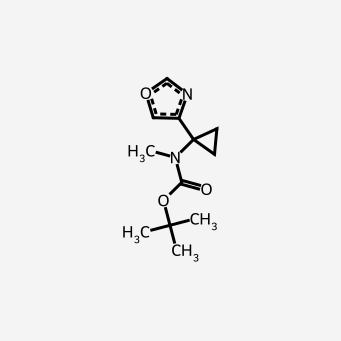 CN(C(=O)OC(C)(C)C)C1(c2cocn2)CC1